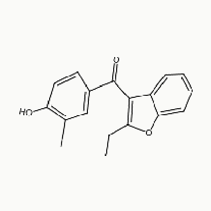 CCc1oc2ccccc2c1C(=O)c1ccc(O)c(I)c1